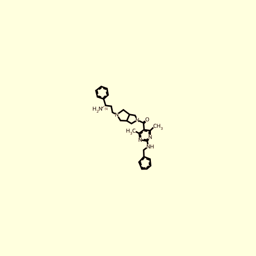 Cc1nc(NCc2ccccc2)nc(C)c1C(=O)N1CC2CN(CC[C@H](N)c3ccccc3)CC2C1